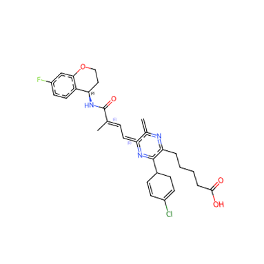 C=c1nc(CCCCC(=O)O)c(C2C=CC(Cl)=CC2)n/c1=C/C=C(\C)C(=O)N[C@@H]1CCOc2cc(F)ccc21